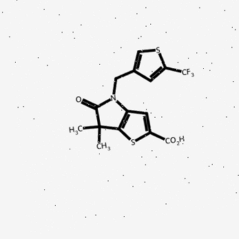 CC1(C)C(=O)N(Cc2csc(C(F)(F)F)c2)c2cc(C(=O)O)sc21